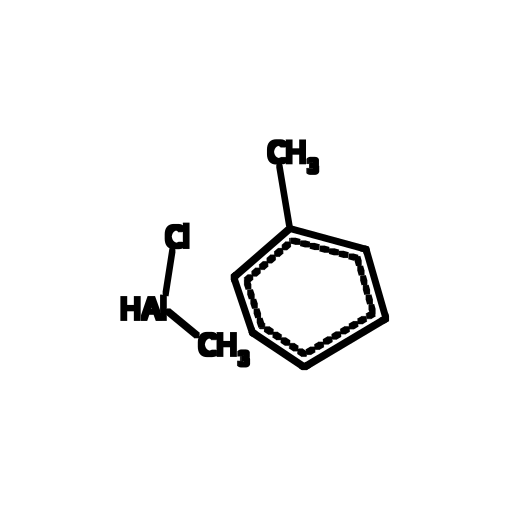 Cc1ccccc1.[CH3][AlH][Cl]